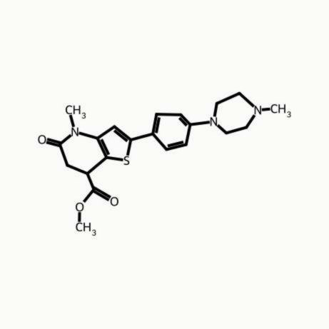 COC(=O)C1CC(=O)N(C)c2cc(-c3ccc(N4CCN(C)CC4)cc3)sc21